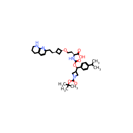 CC(C)c1ccc(C(OC(=O)N[C@@H](CCO[C@H]2C[C@H](CCc3ccc4c(n3)NCCC4)C2)C(=O)O)C2CN(C(=O)OC(C)(C)C)C2)cc1